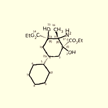 CCOC(=O)[C@]1(O)C[C@H](C2CCCCC2)C[C@](O)(C(=O)OCC)[C@]1(C)N